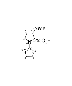 CNC1CCN(c2cccs2)[C@@H]1C(=O)O